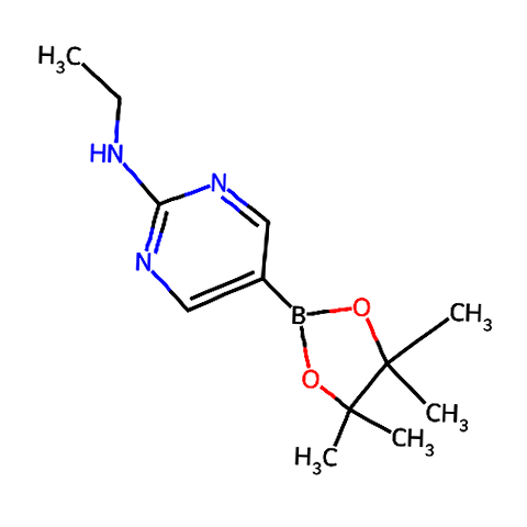 CCNc1ncc(B2OC(C)(C)C(C)(C)O2)cn1